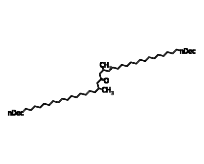 CCCCCCCCCCCCCCCCCCCCCCCCCCC(C)CC(=O)CC(C)CCCCCCCCCCCCCCCCCCCCCCCCCC